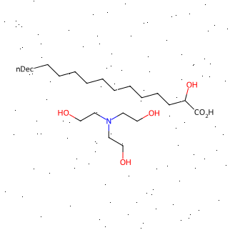 CCCCCCCCCCCCCCCCCCCCC(O)C(=O)O.OCCN(CCO)CCO